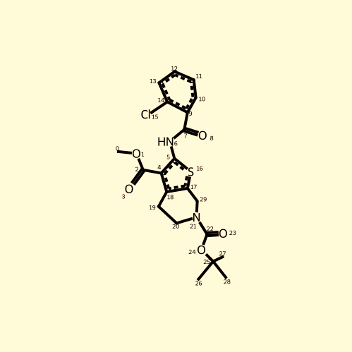 COC(=O)c1c(NC(=O)c2ccccc2Cl)sc2c1CCN(C(=O)OC(C)(C)C)C2